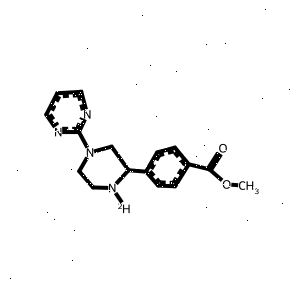 [2H]N1CCN(c2ncccn2)CC1c1ccc(C(=O)OC)cc1